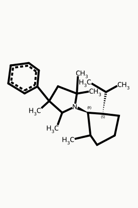 CC1CCC[C@@H](C(C)C)[C@@H]1N1C(C)C(C)(c2ccccc2)CC1(C)C